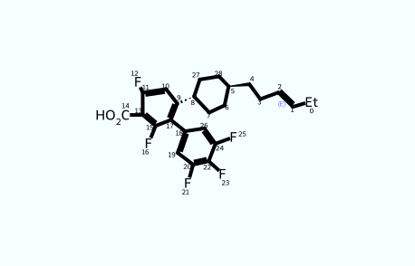 CC/C=C/CC[C@H]1CC[C@H](c2cc(F)c(C(=O)O)c(F)c2-c2cc(F)c(F)c(F)c2)CC1